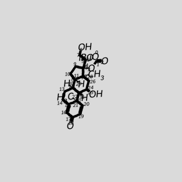 CC(C)COC(=O)O[C@]1(C(=O)CO)CC[C@H]2[C@@H]3CCC4=CC(=O)C=C[C@]4(C)[C@H]3C(O)C[C@@]21C